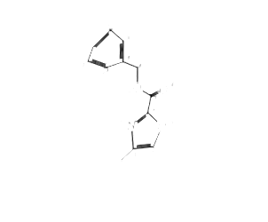 Cc1coc(C(=O)OCc2ccccc2)n1